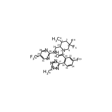 CC1CC(F)(F)CN(C(=O)c2cc(F)ccc2-c2nnn(C)n2)C1CNc1ncc(C(F)(F)F)cn1